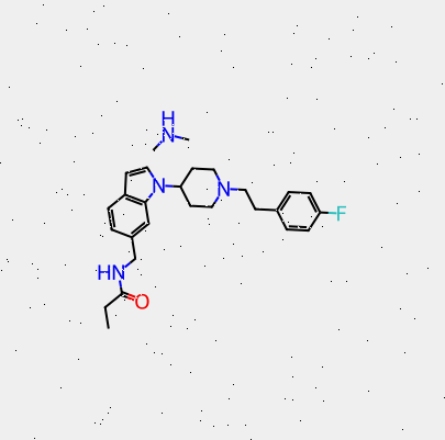 CCC(=O)NCc1ccc2ccn(C3CCN(CCc4ccc(F)cc4)CC3)c2c1.CNC